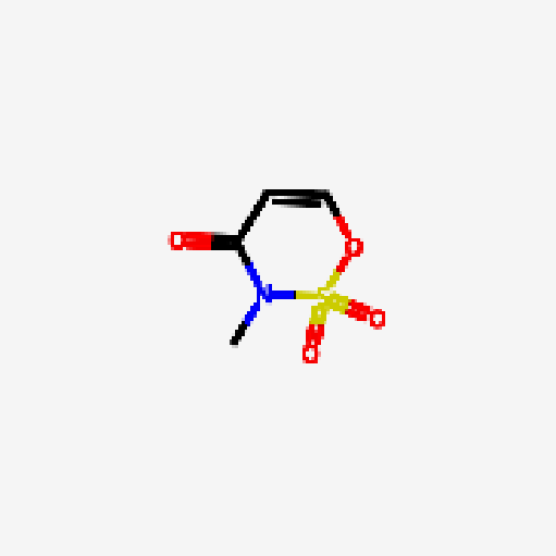 CN1C(=O)C=COS1(=O)=O